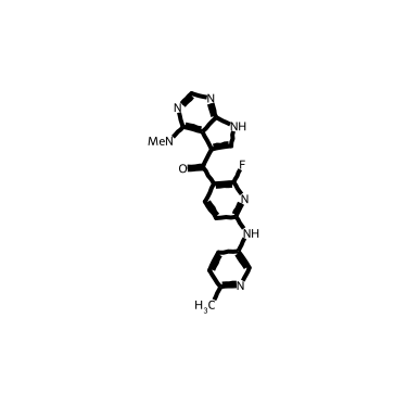 CNc1ncnc2[nH]cc(C(=O)c3ccc(Nc4ccc(C)nc4)nc3F)c12